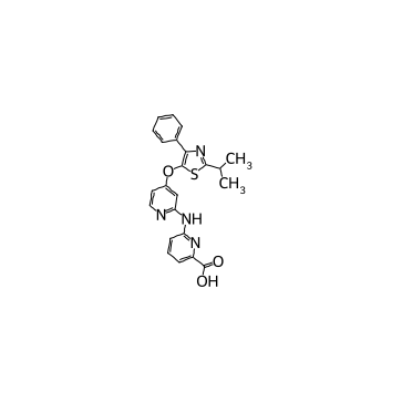 CC(C)c1nc(-c2ccccc2)c(Oc2ccnc(Nc3cccc(C(=O)O)n3)c2)s1